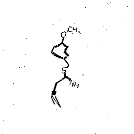 COc1ccc(CSC(=N)CC#N)cc1